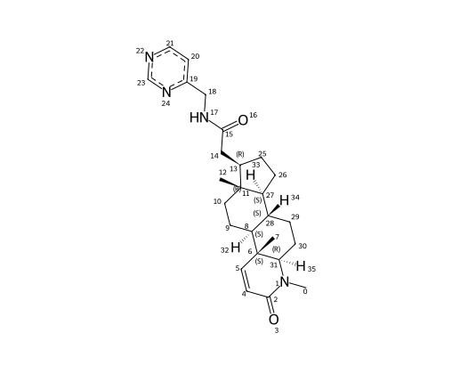 CN1C(=O)C=C[C@]2(C)[C@H]3CC[C@]4(C)[C@@H](CC(=O)NCc5ccncn5)CC[C@H]4[C@@H]3CC[C@@H]12